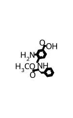 COC(=O)[C@H](Cc1ccccc1)NCc1ccc(C(=O)O)cc1N